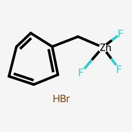 Br.[F][Zn]([F])([F])[CH2]c1ccccc1